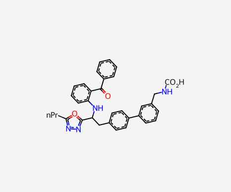 CCCc1nnc(C(Cc2ccc(-c3cccc(CNC(=O)O)c3)cc2)Nc2ccccc2C(=O)c2ccccc2)o1